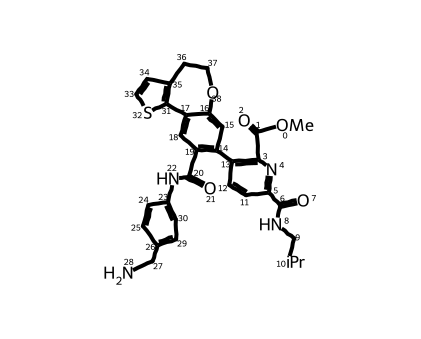 COC(=O)c1nc(C(=O)NCC(C)C)ccc1-c1cc2c(cc1C(=O)Nc1ccc(CN)cc1)-c1sccc1CCO2